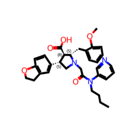 CCCCN(C(=O)CN1C[C@H](c2ccc3c(c2)CCO3)[C@@H](C(=O)O)[C@@H]1Cc1ccccc1OC)c1cccnc1